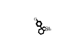 CCC1(c2ccc(Cl)cc2)CCCCC1O